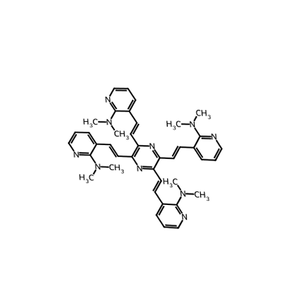 CN(C)c1ncccc1C=Cc1nc(C=Cc2cccnc2N(C)C)c(C=Cc2cccnc2N(C)C)nc1C=Cc1cccnc1N(C)C